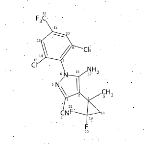 CC1(c2c(C#N)nn(-c3c(Cl)cc(C(F)(F)F)cc3Cl)c2N)CC1(F)F